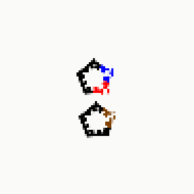 [c]1cccs1.[c]1ccon1